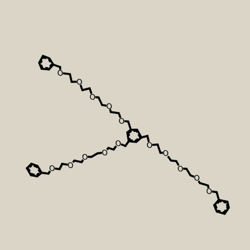 c1ccc(COCCOCCOCCOCCOCc2cc(COCCOCCOCCOCCOCc3ccccc3)cc(COCCOCCOCCOCCOCc3ccccc3)c2)cc1